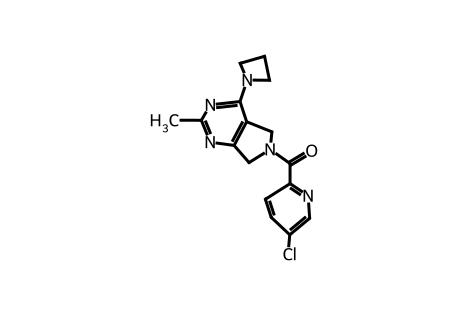 Cc1nc2c(c(N3CCC3)n1)CN(C(=O)c1ccc(Cl)cn1)C2